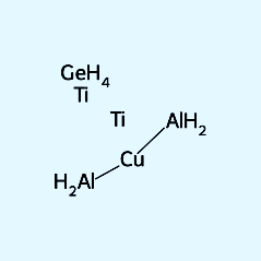 [AlH2][Cu][AlH2].[GeH4].[Ti].[Ti]